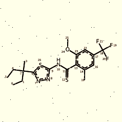 CCC(C)(CC)c1nnc(NC(=S)c2c(C)cc(C(F)(F)F)cc2OC)s1